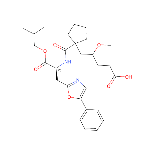 COC(CCC(=O)O)CC1(C(=O)N[C@@H](Cc2ncc(-c3ccccc3)o2)C(=O)OCC(C)C)CCCC1